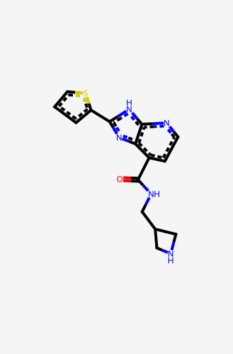 O=C(NCC1CNC1)c1ccnc2[nH]c(-c3cccs3)nc12